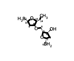 B[C@H]1C[C@@H](O)[C@@H](CO[C@@H]2C[C@H](B)O[C@@H]2CC)O1